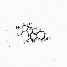 CCCC[C@](C)(CO)Nc1nc(N)nc2cc(Cl)ncc12